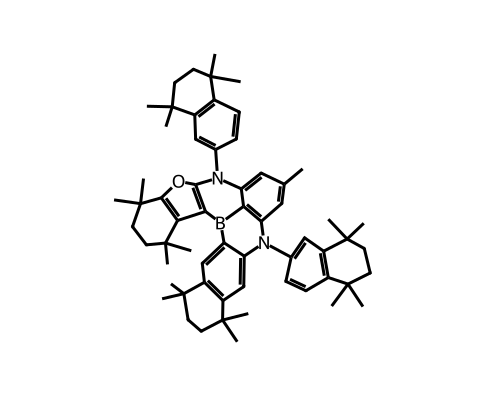 Cc1cc2c3c(c1)N(c1ccc4c(c1)C(C)(C)CCC4(C)C)c1oc4c(c1B3c1cc3c(cc1N2c1ccc2c(c1)C(C)(C)CCC2(C)C)C(C)(C)CCC3(C)C)C(C)(C)CCC4(C)C